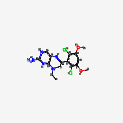 CCN1CC(c2c(Cl)c(OC)cc(OC)c2Cl)=Nc2cnc(N)nc21